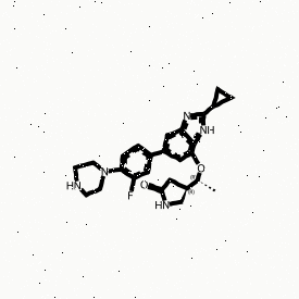 C[C@@H](Oc1cc(-c2ccc(N3CCNCC3)c(F)c2)cc2nc(C3CC3)[nH]c12)[C@H]1CNC(=O)C1